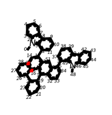 Cn1c2ccccc2c2cccc(-c3cccc4c(-c5ccccc5-c5ccccc5)c5cccc(-c6cccc7c8ccccc8n(C)c67)c5cc34)c21